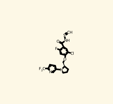 C#SNC(=O)c1cc(Cl)c(OC[C@H]2CCCN2c2ccc(C(F)(F)F)nc2)cc1F